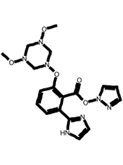 CON1CN(OC)CN(Oc2cccc(-c3ncc[nH]3)c2C(=O)On2cccn2)C1